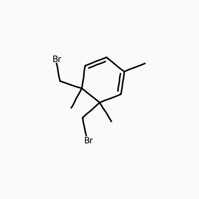 CC1=CC(C)(CBr)C(C)(CBr)C=C1